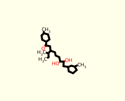 CCC(C)C(CCC[C@@H](O)C(O)CC1CCCC(C)C1)CC(=O)C1CCC(C)CC1